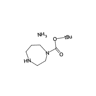 CC(C)(C)OC(=O)N1CCCNCC1.N